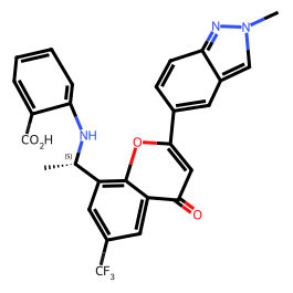 C[C@H](Nc1ccccc1C(=O)O)c1cc(C(F)(F)F)cc2c(=O)cc(-c3ccc4nn(C)cc4c3)oc12